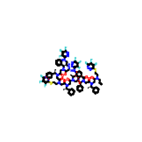 C=CCN(CCSc1nnc(F)c(F)c1F)C(=O)CN(C(=O)CN(C(=O)CN(CCNc1nnc(F)c(F)c1F)C(=O)CN(C(=O)CN(C(=O)CN(CCSc1nnc(F)c(F)c1F)C(=O)CN(C(=O)CN(C(=O)CNCCNc1nnc(F)c(F)c1F)[C@@H](C)c1ccccc1)[C@@H](C)c1ccccc1)[C@@H](C)c1ccccc1)[C@@H](C)c1ccccc1)[C@@H](C)c1ccccc1)[C@@H](C)c1ccccc1